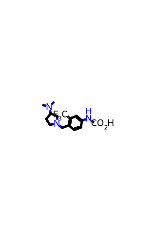 CN(C)C1CCN(Cc2ccc(NC(=O)O)cc2C(F)(F)F)C1